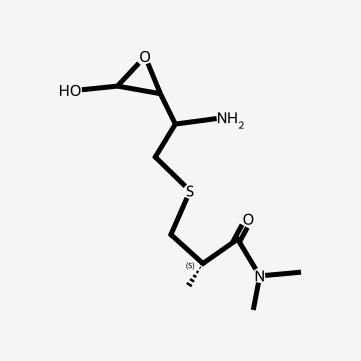 C[C@H](CSCC(N)C1OC1O)C(=O)N(C)C